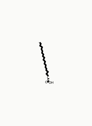 [CH2]CCCCCCCCC[CH]CCCCCCCCCCCC(=O)O